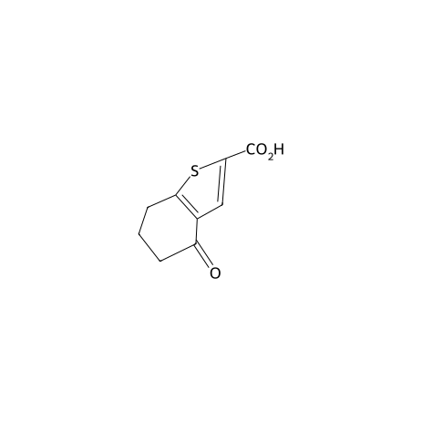 O=C(O)c1cc2c(s1)CCCC2=O